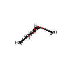 O=C(O)CCCCCCCCCCCCCc1ccc(S(=O)(=O)Nc2ccc(C(=O)NCCOCCOCC(=O)NCCOCCOCC(=O)O)cn2)cc1